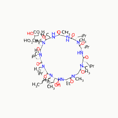 C/C=C/C[C@@H](C)[C@@H](O)[C@H]1C(=O)N[C@@H](CC)C(=O)N(C)CC(=O)N(C)[C@@H](CC(C)C)C(=O)N[C@@H](C(C)C)C(=O)N(C)[C@@H](CC(C)C)C(=O)N[C@@H](C)C(=O)N[C@H](C)C(=O)N(C)[C@@H](CC(C)C)C(=O)N(C)[C@@H](CC(C)C)C(=O)N(C)[C@@H](C(C)C)C(=O)N1C.O=C(O)CC(O)C(=O)O